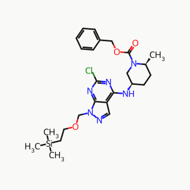 C[C@H]1CC[C@@H](Nc2nc(Cl)nc3c2cnn3COCC[Si](C)(C)C)CN1C(=O)OCc1ccccc1